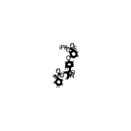 Cc1noc(-c2ccc(OC3CCCC(F)(C(=O)OC(C)C)C3)cc2)c1COC(=O)N(C)C1CCCC1